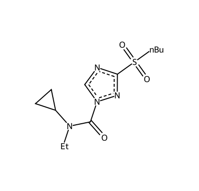 CCCCS(=O)(=O)c1ncn(C(=O)N(CC)C2CC2)n1